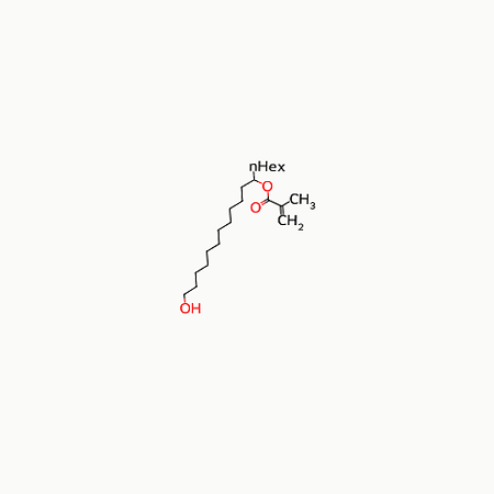 C=C(C)C(=O)OC(CCCCCC)CCCCCCCCCCCO